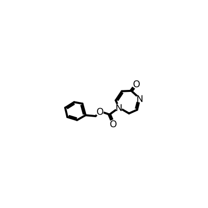 O=C1C=CN(C(=O)OCc2ccccc2)CC=N1